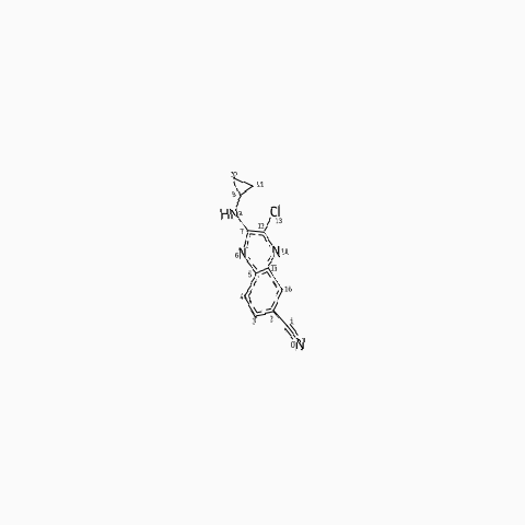 N#Cc1ccc2nc(NC3CC3)c(Cl)nc2c1